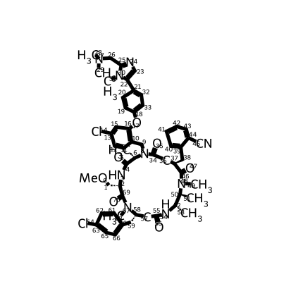 COC[C@@H]1NC(=O)[C@H](C)N(Cc2ccc(Cl)cc2Oc2ccc(-c3cnc(CN(C)C)n3C)cc2)C(=O)C[C@@H](Cc2ccccc2C#N)C(=O)N(C)[C@@H](C)[C@H](C)NC(=O)C[C@H](Cc2ccc(Cl)cc2)N(C)C1=O